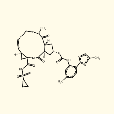 Cc1ccc(-c2nc(C)cs2)c(NC(=O)O[C@@H]2C[C@H]3C(=O)N[C@]4(C(=O)NS(=O)(=O)C5CC5)C[C@H]4/C=C\CCCN(C)C(=O)[C@@H]3C2)c1